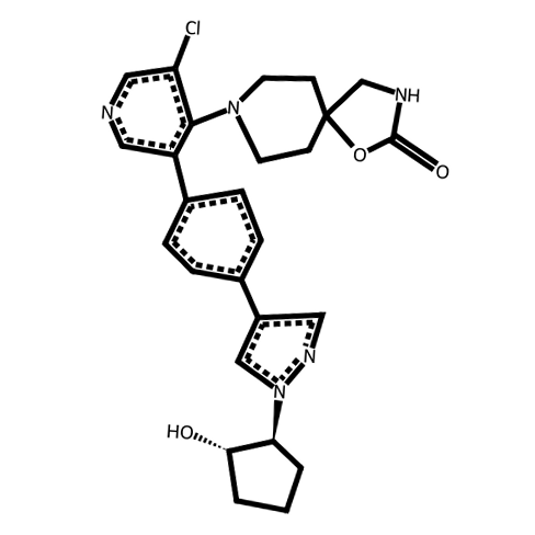 O=C1NCC2(CCN(c3c(Cl)cncc3-c3ccc(-c4cnn([C@H]5CCC[C@@H]5O)c4)cc3)CC2)O1